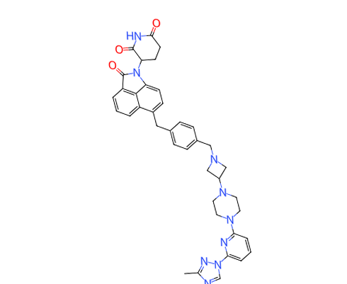 Cc1ncn(-c2cccc(N3CCN(C4CN(Cc5ccc(Cc6ccc7c8c(cccc68)C(=O)N7C6CCC(=O)NC6=O)cc5)C4)CC3)n2)n1